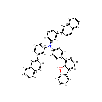 c1cc(-c2ccc3ccccc3c2)cc(N(c2ccc(-c3cccc4c3oc3ccccc34)cc2)c2cccc(-c3ccc4ccccc4c3)c2)c1